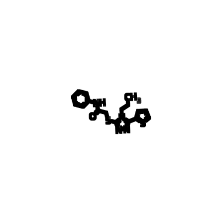 CCCn1c(SCC(=O)Nc2ccccc2)nnc1-c1cccs1